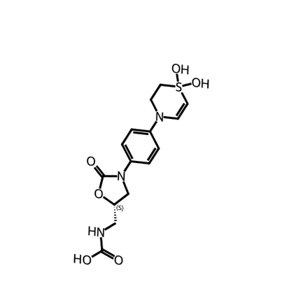 O=C(O)NC[C@H]1CN(c2ccc(N3C=CS(O)(O)CC3)cc2)C(=O)O1